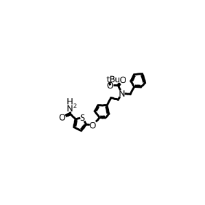 CC(C)(C)OC(=O)N(CCc1ccc(Oc2ccc(C(N)=O)s2)cc1)Cc1ccccc1